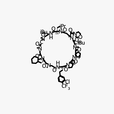 CC[C@H](C)[C@@H]1NC(=O)[C@H](CC(C)C)N(C)C(=O)C[C@@H](C(=O)N2CCOC2)NC(=O)[C@H]([C@@H](C)CC)N(C)C(=O)C2(CCCC2)NC(=O)[C@@H]2CCCN2C(=O)[C@H](CCc2ccc(C(F)(F)F)c(Cl)c2)NC(=O)CN(C)C(=O)[C@H](CC2CCCCC2)N(C)C(=O)CN(C)C(=O)CN(C)C1=O